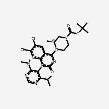 CC(C)c1ncnc(N(C)C)c1-n1c(=O)nc(N2CCN(C(=O)OC(C)(C)C)C[C@@H]2C)c2cc(Cl)c(Cl)nc21